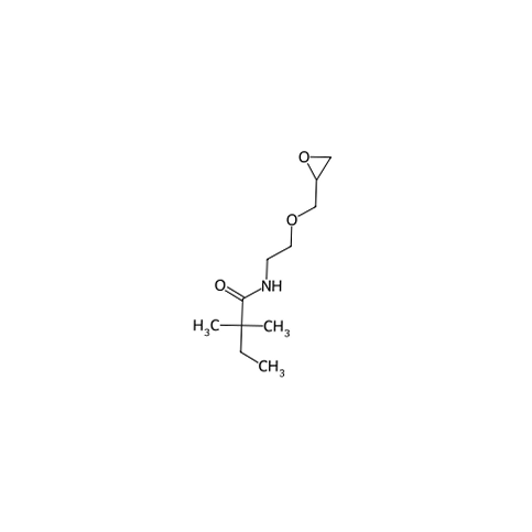 CCC(C)(C)C(=O)NCCOCC1CO1